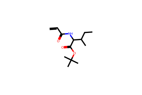 C=CC(=O)NC(C(=O)OC(C)(C)C)C(C)CC